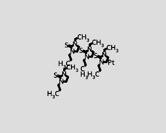 CCCN1CCN(CC)C1=S.CCCN1CCN(CC)C1=S.CCCN1CCN(CC)C1=S.CCCN1CCN(CC)C1=S.[Pt]